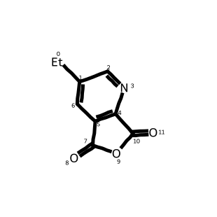 CCc1cnc2c(c1)C(=O)OC2=O